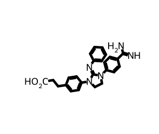 N=C(N)c1ccc(N2CCN(c3ccc(CCC(=O)O)cc3)C2=Nc2ccccc2)cc1